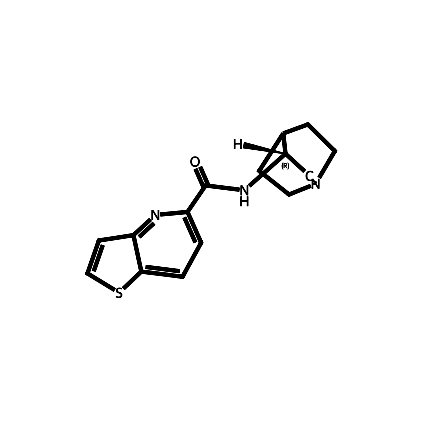 O=C(N[C@H]1CN2CCC1CC2)c1ccc2sccc2n1